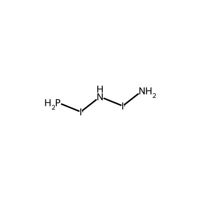 N[I]N[I]P